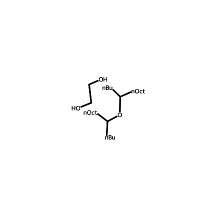 CCCCCCCCC(CCCC)OC(CCCC)CCCCCCCC.OCCO